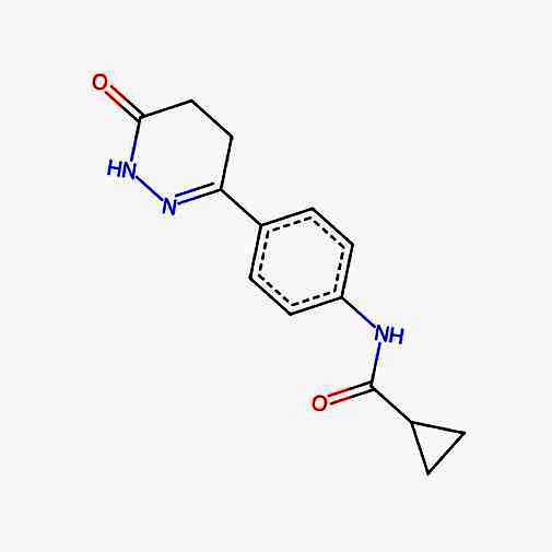 O=C1CCC(c2ccc(NC(=O)C3CC3)cc2)=NN1